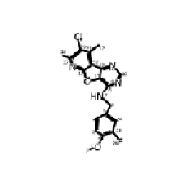 COc1ccc(CNc2ncnc3c2oc2nc(C)c(Cl)c(C)c23)cc1F